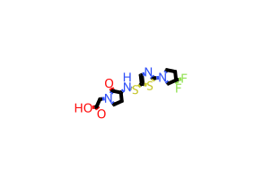 O=C(O)CN1CCC(NSc2cnc(N3CCC(F)(F)C3)s2)C1=O